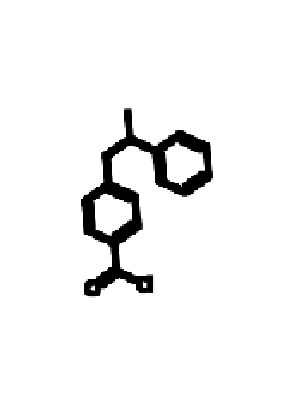 CC(Cc1ccc(C(=O)Cl)cc1)c1ccccc1